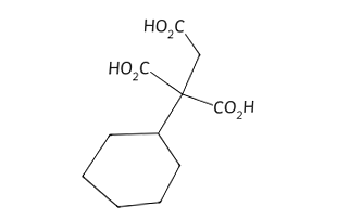 O=C(O)CC(C(=O)O)(C(=O)O)C1CCCCC1